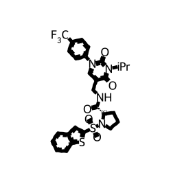 CC(C)n1c(=O)c(CNC(=O)[C@@H]2CCCN2S(=O)(=O)c2cc3ccccc3s2)cn(-c2ccc(C(F)(F)F)cc2)c1=O